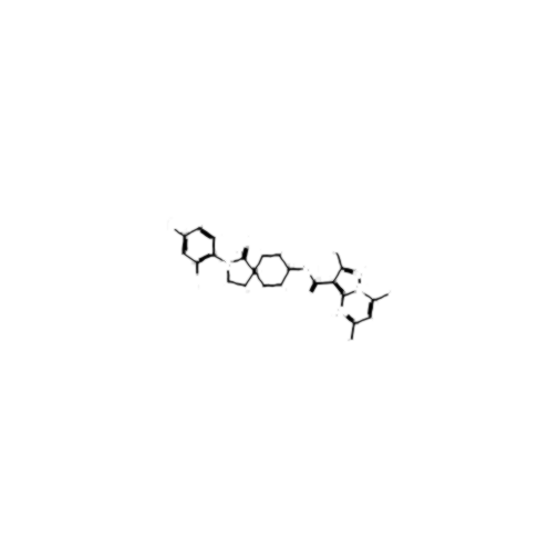 Cc1cc(C)n2nc(C)c(C(=O)NC3CCC4(CC3)CCN(c3ccc(F)cc3Cl)C4=O)c2n1